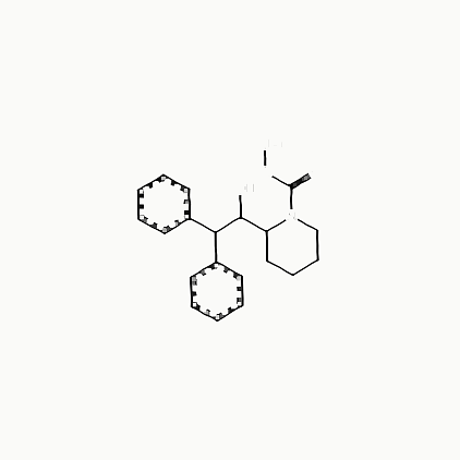 CC(C)(C)OC(=O)N1CCCCC1C(O)C(c1ccccc1)c1ccccc1